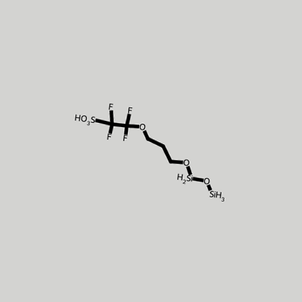 O=S(=O)(O)C(F)(F)C(F)(F)OCCCO[SiH2]O[SiH3]